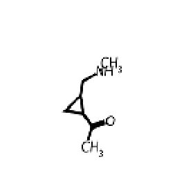 CNCC1CC1C(C)=O